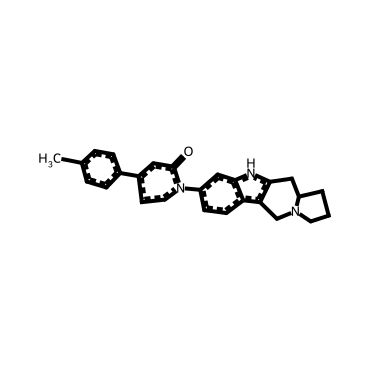 Cc1ccc(-c2ccn(-c3ccc4c5c([nH]c4c3)CC3CCCN3C5)c(=O)c2)cc1